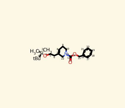 CC(C)(C)[Si](C)(C)OCCC1=CCCN(C(=O)OCc2ccccc2)C1